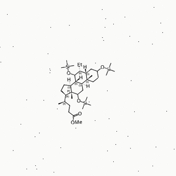 CC[C@H]1C(O[Si](C)(C)C)[C@@H]2[C@H](CC(O[Si](C)(C)C)[C@]3(C)[C@@H]([C@H](C)CCC(=O)OC)CC[C@@H]23)[C@@]2(C)CCC(O[Si](C)(C)C)C[C@@H]12